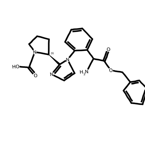 NC(C(=O)OCc1ccccc1)c1ccccc1-n1ccnc1[C@@H]1CCCN1C(=O)O